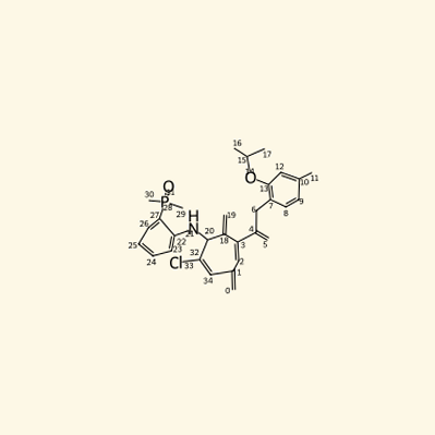 C=C1C=C(C(=C)Cc2ccc(C)cc2OC(C)C)C(=C)C(Nc2ccccc2P(C)(C)=O)C(Cl)=C1